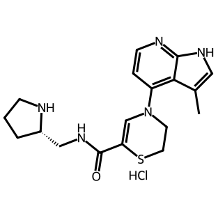 Cc1c[nH]c2nccc(N3C=C(C(=O)NC[C@@H]4CCCN4)SCC3)c12.Cl